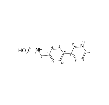 O=C(O)NCc1ccc(-c2cccnc2)cc1